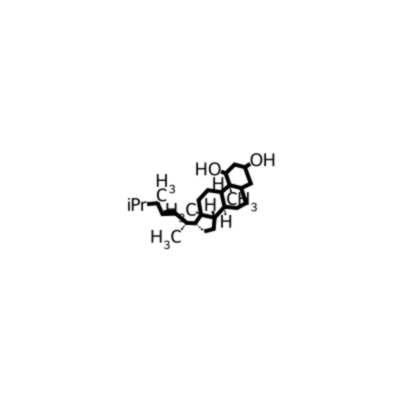 CC(C)C(C)C=C[C@@H](C)[C@H]1CC[C@H]2[C@@H]3CCC4CC(O)CC(O)[C@]4(C)[C@H]3CC[C@]12C